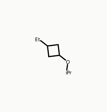 CCC1CC(OC(C)C)C1